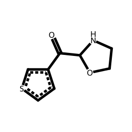 O=C(c1ccsc1)C1NCCO1